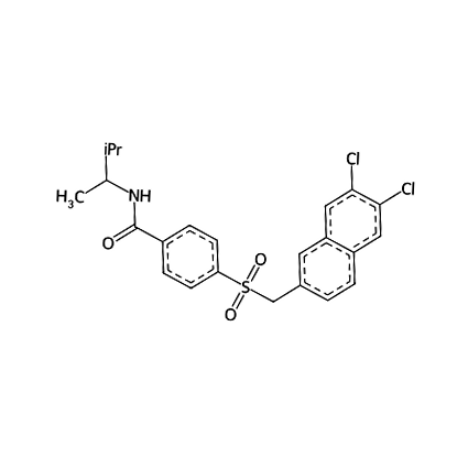 CC(C)C(C)NC(=O)c1ccc(S(=O)(=O)Cc2ccc3cc(Cl)c(Cl)cc3c2)cc1